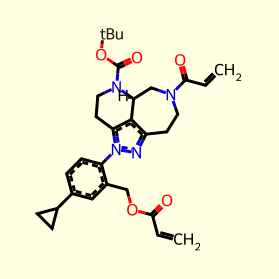 C=CC(=O)OCc1cc(C2CC2)ccc1-n1nc2c3c1CCN(C(=O)OC(C)(C)C)[C@H]3CN(C(=O)C=C)CC2